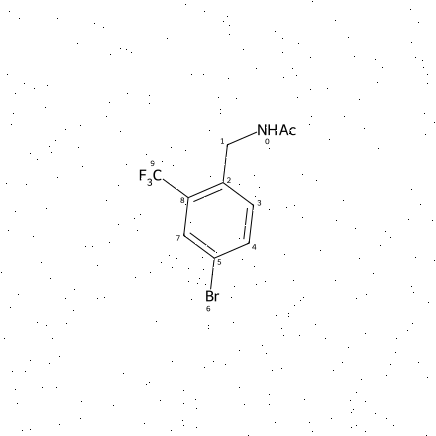 CC(=O)NCc1ccc(Br)cc1C(F)(F)F